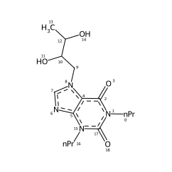 CCCn1c(=O)c2c(ncn2CC(O)C(C)O)n(CCC)c1=O